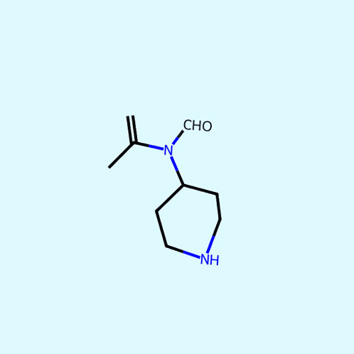 C=C(C)N(C=O)C1CCNCC1